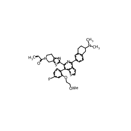 C=CC(=O)N1CCc2nc(-c3nc(-c4ccc5c(c4)CCC(N(C)C)C5)c4ccsc4c3-c3ccc(F)cc3OCCOC)sc2C1